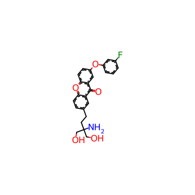 NC(CO)(CO)CCc1ccc2oc3ccc(Oc4cccc(F)c4)cc3c(=O)c2c1